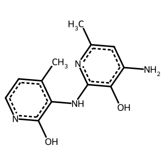 Cc1cc(N)c(O)c(Nc2c(C)ccnc2O)n1